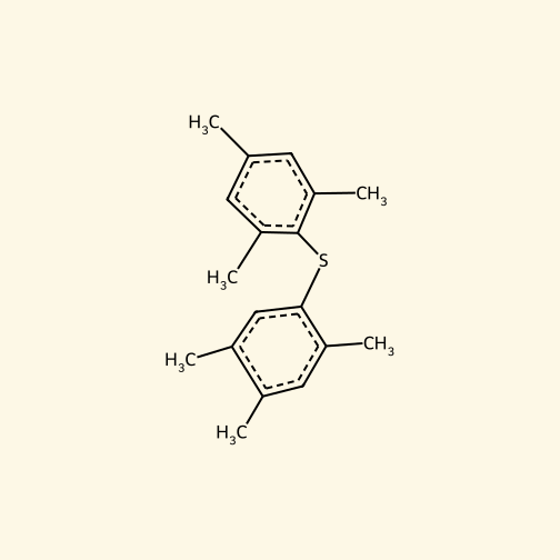 Cc1cc(C)c(Sc2cc(C)c(C)cc2C)c(C)c1